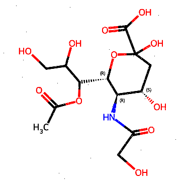 CC(=O)OC(C(O)CO)[C@@H]1OC(O)(C(=O)O)C[C@H](O)[C@H]1NC(=O)CO